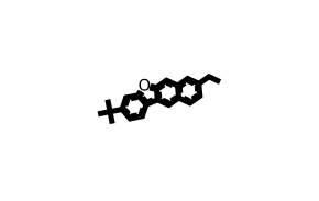 CCc1ccc2cc3c(cc2c1)oc1cc(C(C)(C)C)ccc13